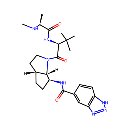 CN[C@@H](C)C(=O)N[C@H](C(=O)N1CC[C@H]2CC[C@H](NC(=O)c3ccc4[nH]nnc4c3)[C@H]21)C(C)(C)C